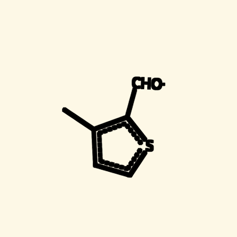 Cc1ccsc1[C]=O